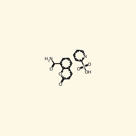 NC(=O)c1cccc2ccc(=O)oc12.O=S(=O)(O)c1ccccn1